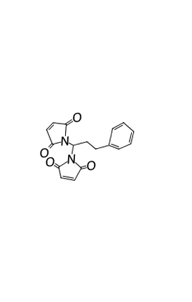 O=C1C=CC(=O)N1C(CCc1ccccc1)N1C(=O)C=CC1=O